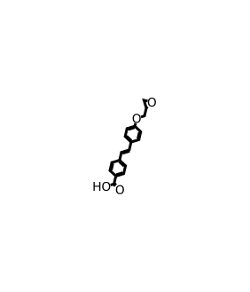 O=C(O)c1ccc(C=Cc2ccc(OCC3CO3)cc2)cc1